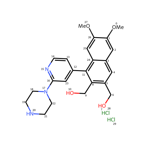 COc1cc2cc(CO)c(CO)c(-c3ccnc(N4CCNCC4)c3)c2cc1OC.Cl.Cl